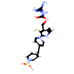 N=C(N)NC(=O)OCc1ccnc(N2CCC(C3CCN([SH](=O)=O)CC3)CC2)c1F